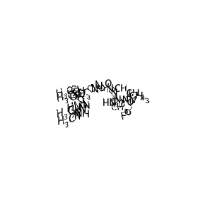 Cc1n[nH]c(Nc2ncnc3cc(OCCC4CCN(c5ccc(C(=O)N6CCN(C[C@H]7CN[C@H](C)CN7CC(=O)N7CC(C)(C)c8ncc(Cc9ccc(F)cc9)cc87)C(C)C6)cn5)CC4)c(S(=O)(=O)C(C)(C)C)cc23)c1C